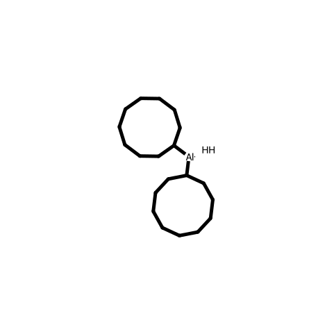 C1CCCC[CH]([Al][CH]2CCCCCCCCC2)CCCC1.[HH]